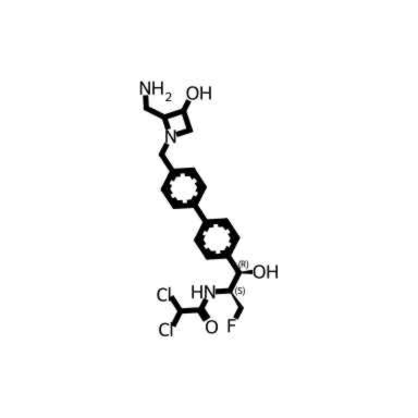 NCC1C(O)CN1Cc1ccc(-c2ccc([C@@H](O)[C@@H](CF)NC(=O)C(Cl)Cl)cc2)cc1